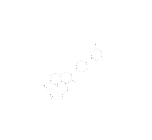 CNc1ncc2cc(-c3ccc(-c4cncc(C)n4)cc3Cl)c(=O)n(CC3CNCCO3)c2n1